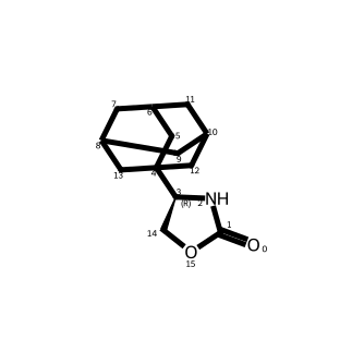 O=C1N[C@H](C23CC4CC(CC(C4)C2)C3)CO1